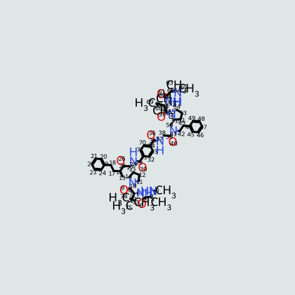 CN[C@@H](C)C(=O)N[C@H](C(=O)N1CCC[C@H]1CC(CCc1ccccc1)C(=O)CNC(=O)c1ccc(C(=O)NCC(=O)N(CCc2ccccc2)C[C@@H]2CCCN2C(=O)[C@@H](NC(=O)[C@H](C)NC)C(C)(C)C)cc1)C(C)(C)C